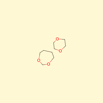 C1CCOCOC1.C1COCCO1